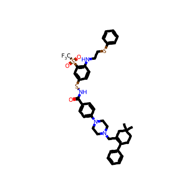 CC1(C)CCC(c2ccccc2)=C(CN2CCN(c3ccc(C(=O)NSc4ccc(NCCSc5ccccc5)c(S(=O)(=O)C(F)(F)F)c4)cc3)CC2)C1